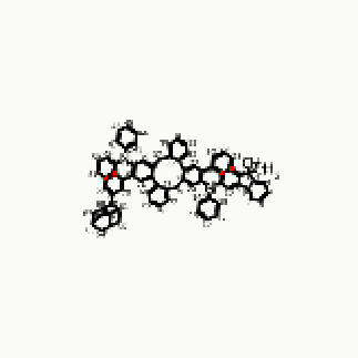 CC1(C)c2ccccc2-c2cc(N(c3ccccc3)c3cc4c(cc3-c3ccccc3)-c3ccccc3Cc3cc(N(c5ccccc5)c5ccccc5)c(-c5cccc(C6C7CC8CC(C7)CC6C8)c5)cc3-c3ccccc3C4)ccc21